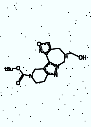 CC(C)(C)OC(=O)N1CCc2nn3c(c2C1)-c1nocc1C[C@@H](CO)C3